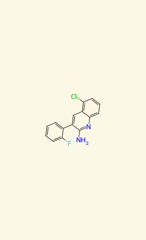 Nc1nc2cccc(Cl)c2cc1-c1ccccc1F